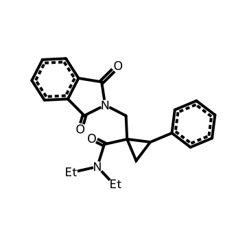 CCN(CC)C(=O)C1(CN2C(=O)c3ccccc3C2=O)CC1c1ccccc1